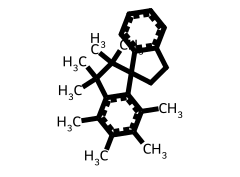 Cc1c(C)c(C)c2c(c1C)C(C)(C)C(C)(C)C21CCc2ccccc21